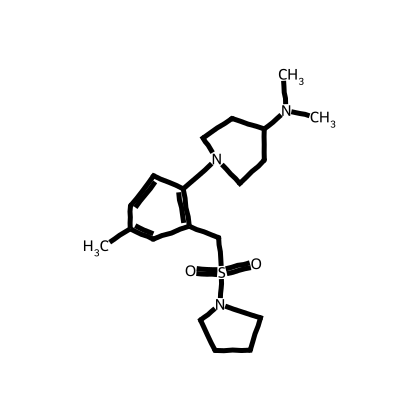 Cc1ccc(N2CCC(N(C)C)CC2)c(CS(=O)(=O)N2CCCC2)c1